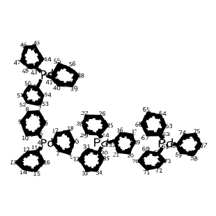 c1cc[c]([Pd]([c]2ccccc2)[c]2ccccc2)cc1.c1cc[c]([Pd]([c]2ccccc2)[c]2ccccc2)cc1.c1cc[c]([Pd]([c]2ccccc2)[c]2ccccc2)cc1.c1cc[c]([Pd]([c]2ccccc2)[c]2ccccc2)cc1